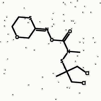 CN(SC(C)(CCl)CCl)C(=O)ON=C1COCCS1